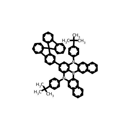 CC(C)(C)c1ccc(N2c3cc4ccccc4cc3B3c4cc5ccccc5cc4N(c4ccc(C(C)(C)C)cc4)c4cc(-c5ccc6c(c5)C5(c7ccccc7-c7ccccc75)c5ccccc5-6)cc2c43)cc1